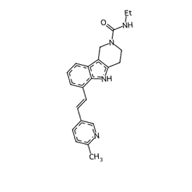 CCNC(=O)N1CCc2[nH]c3c(C=Cc4ccc(C)nc4)cccc3c2C1